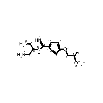 CC(COc1ccc(C(=N)NC(CN)CN)cc1)C(=O)O